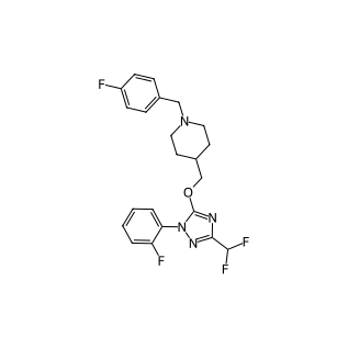 Fc1ccc(CN2CCC(COc3nc(C(F)F)nn3-c3ccccc3F)CC2)cc1